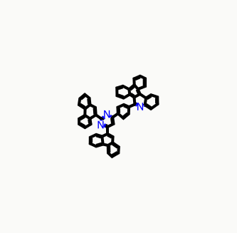 c1ccc2c(c1)cc(-c1cc(-c3ccc(-c4nc5ccccc5c5c6ccccc6c6ccccc6c45)cc3)nc(-c3cc4ccccc4c4ccccc34)n1)c1ccccc12